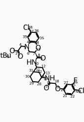 CC(C)(C)OC(=O)CN1C[C@H](C(=O)NC2CCC3(NC(=O)COc4ccc(Cl)c(F)c4)CCCC2C3)Oc2ccc(Cl)cc21